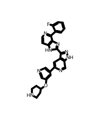 Fc1ccccc1-c1nccc2[nH]c(-c3n[nH]c4cnc(-c5cncc(OC6CCNCC6)c5)cc34)nc12